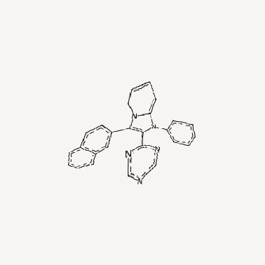 C1=CCN2C(=C1)N(c1ccccc1)C(c1ncncn1)=C2c1ccc2ccccc2c1